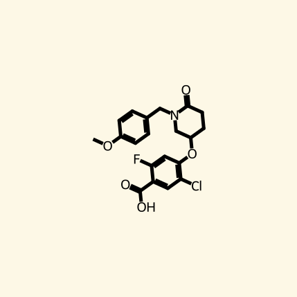 COc1ccc(CN2CC(Oc3cc(F)c(C(=O)O)cc3Cl)CCC2=O)cc1